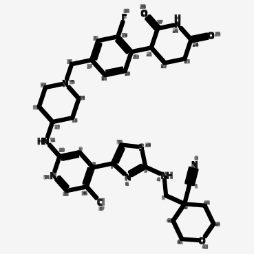 N#CC1(CNc2nc(-c3cc(NC4CCN(Cc5ccc(C6CCC(=O)NC6=O)c(F)c5)CC4)ncc3Cl)cs2)CCOCC1